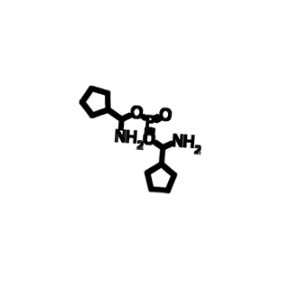 NC(O[PH](=O)OC(N)C1CCCC1)C1CCCC1